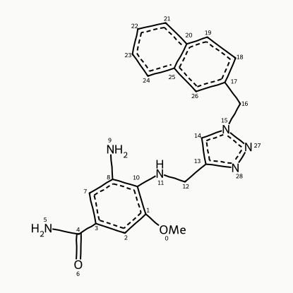 COc1cc(C(N)=O)cc(N)c1NCc1cn(Cc2ccc3ccccc3c2)nn1